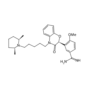 COc1ccc(C(=N)N)cc1[C@@H]1Oc2ccccc2N(CCCCCN2[C@H](C)CCC[C@@H]2C)C1=O